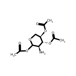 CC(=O)OC1OC[C@@H](OC(C)=O)[C@H](OC(C)=O)[C@H]1N